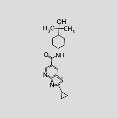 CC(C)(O)C1CCC(NC(=O)c2cnc3nc(C4CC4)sc3c2)CC1